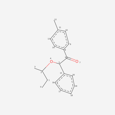 CCC(C)OC(C(=O)c1ccc(C)cc1)c1ccccc1